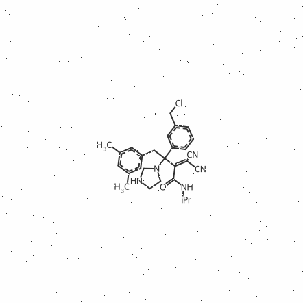 Cc1cc(C)cc(CC(C(C(=O)NC(C)C)=C(C#N)C#N)(c2cccc(CCl)c2)N2CCNC2)c1